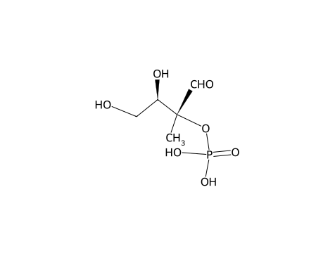 C[C@@](C=O)(OP(=O)(O)O)[C@H](O)CO